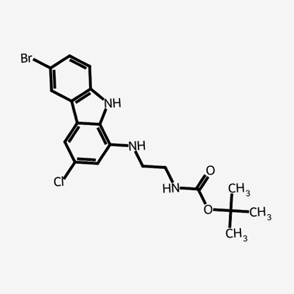 CC(C)(C)OC(=O)NCCNc1cc(Cl)cc2c1[nH]c1ccc(Br)cc12